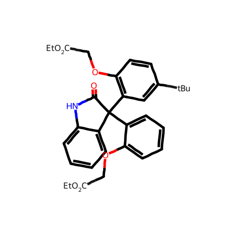 CCOC(=O)COc1ccccc1C1(c2cc(C(C)(C)C)ccc2OCC(=O)OCC)C(=O)Nc2ccccc21